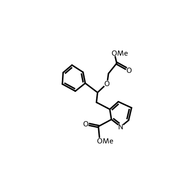 COC(=O)COC(Cc1cccnc1C(=O)OC)c1ccccc1